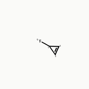 F[C]1C=C1